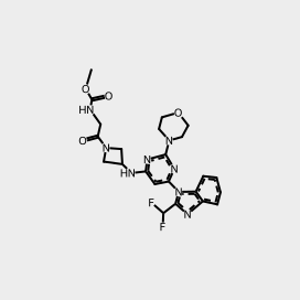 COC(=O)NCC(=O)N1CC(Nc2cc(-n3c(C(F)F)nc4ccccc43)nc(N3CCOCC3)n2)C1